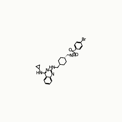 O=S(=O)(NC[C@H]1CC[C@H](CNc2nc(NC3CC3)c3ccccc3n2)CC1)c1ccc(Br)cc1